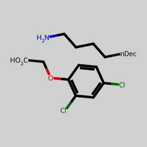 CCCCCCCCCCCCCCN.O=C(O)COc1ccc(Cl)cc1Cl